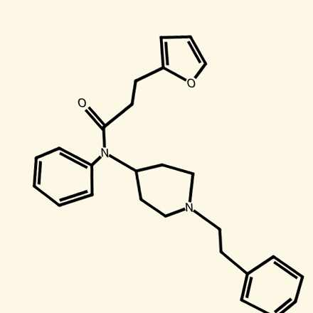 O=C(CCc1ccco1)N(c1ccccc1)C1CCN(CCc2ccccc2)CC1